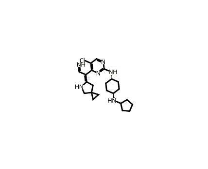 N=C/C(=C1/CC2(CC2)CN1)c1nc(N[C@H]2CC[C@H](NC3CCCC3)CC2)ncc1Cl